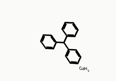 [GaH3].c1ccc(C(c2ccccc2)c2ccccc2)cc1